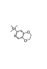 [CH3][Sn]([CH3])([CH3])[c]1cc2c(cn1)OCCO2